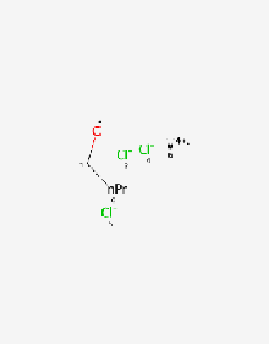 CCCC[O-].[Cl-].[Cl-].[Cl-].[V+4]